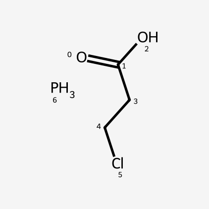 O=C(O)CCCl.P